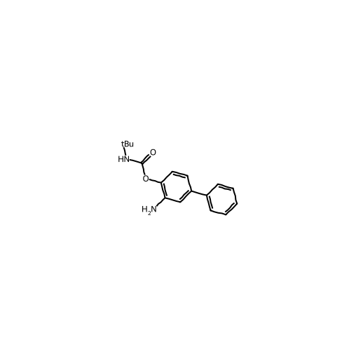 CC(C)(C)NC(=O)Oc1ccc(-c2ccccc2)cc1N